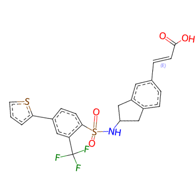 O=C(O)/C=C/c1ccc2c(c1)CC(NS(=O)(=O)c1ccc(-c3cccs3)cc1C(F)(F)F)C2